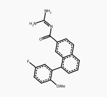 COc1ccc(F)cc1-c1cccc2ccc(C(=O)N=C(N)N)cc12